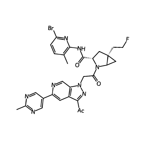 CC(=O)c1nn(CC(=O)N2C3C[C@]3(CCF)C[C@H]2C(=O)Nc2nc(Br)ccc2C)c2cnc(-c3cnc(C)nc3)cc12